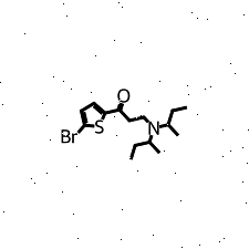 CCC(C)N(CCC(=O)c1ccc(Br)s1)C(C)CC